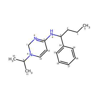 CCCC(NC1=NCN(C(C)C)C=C1)c1ccccc1